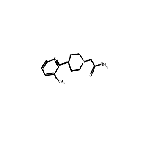 Cc1cccnc1C1CCN(CC(N)=O)CC1